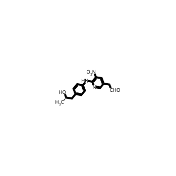 C[C@H](O)Cc1ccc(Nc2ncc(CC=O)cc2[N+](=O)[O-])cc1